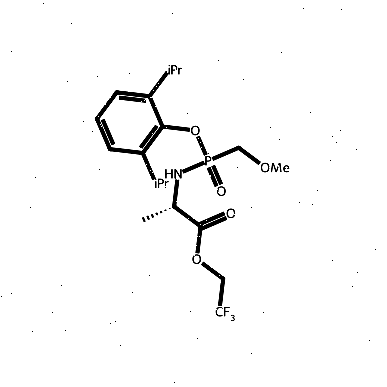 COCP(=O)(N[C@@H](C)C(=O)OCC(F)(F)F)Oc1c(C(C)C)cccc1C(C)C